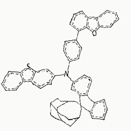 c1ccc2c(c1)-c1ccc(N(c3ccc(-c4cccc5c4oc4ccccc45)cc3)c3ccc4c(c3)sc3ccccc34)cc1C21C2CC3CC(C2)CC1C3